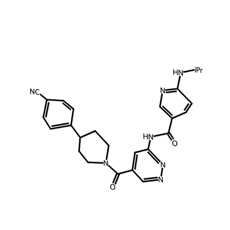 CC(C)Nc1ccc(C(=O)Nc2cc(C(=O)N3CCC(c4ccc(C#N)cc4)CC3)cnn2)cn1